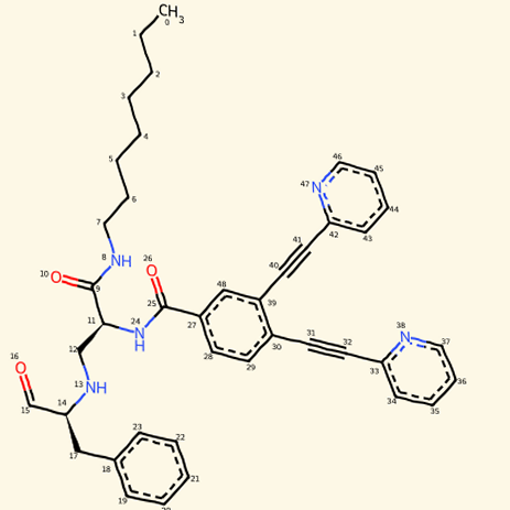 CCCCCCCCNC(=O)[C@H](CN[C@H](C=O)Cc1ccccc1)NC(=O)c1ccc(C#Cc2ccccn2)c(C#Cc2ccccn2)c1